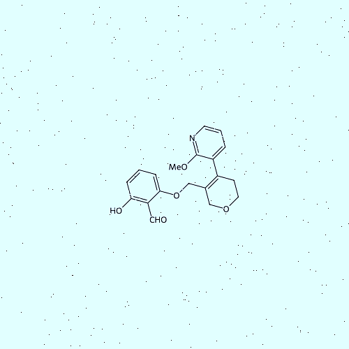 COc1ncccc1C1=C(COc2cccc(O)c2C=O)COCC1